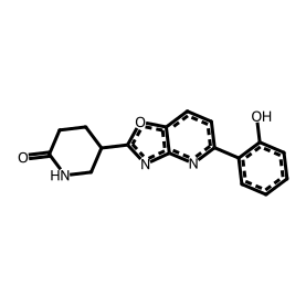 O=C1CCC(c2nc3nc(-c4ccccc4O)ccc3o2)CN1